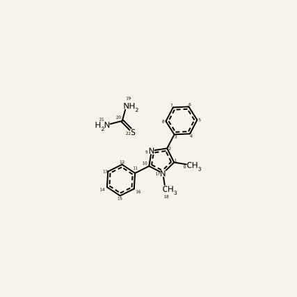 Cc1c(-c2ccccc2)nc(-c2ccccc2)n1C.NC(N)=S